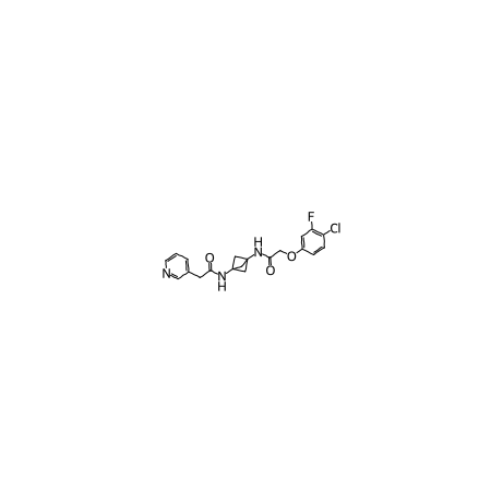 O=C(COc1ccc(Cl)c(F)c1)NC12CC(NC(=O)Cc3cccnc3)(C1)C2